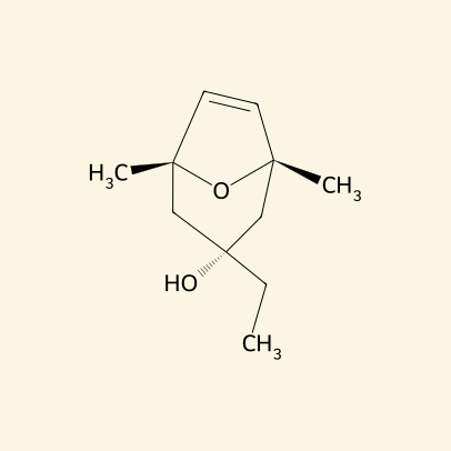 CC[C@@]1(O)C[C@]2(C)C=C[C@](C)(C1)O2